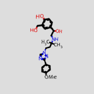 COc1ccc(-c2ncn(CCC(C)(C)NCC(O)c3ccc(O)c(CO)c3)n2)cc1